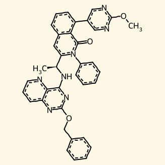 COc1ncc(-c2cccc3cc([C@H](C)Nc4nc(OCc5ccccc5)nc5cccnc45)n(-c4ccccc4)c(=O)c23)cn1